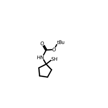 CC(C)(C)OC(=O)NC1(S)CCCC1